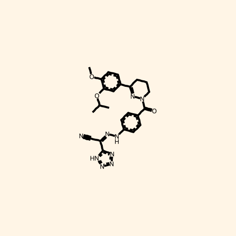 COc1ccc(C2=NN(C(=O)c3ccc(NN=C(C#N)c4nnn[nH]4)cc3)CCC2)cc1OC(C)C